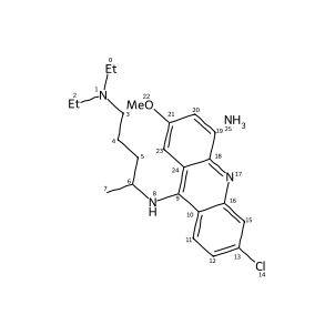 CCN(CC)CCCC(C)Nc1c2ccc(Cl)cc2nc2ccc(OC)cc12.N